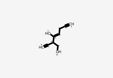 C#CCC=C(O)C(C#C)CO